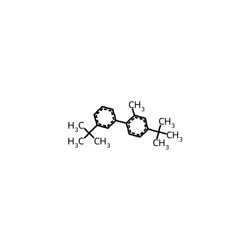 Cc1cc(C(C)(C)C)ccc1-c1cccc(C(C)(C)C)c1